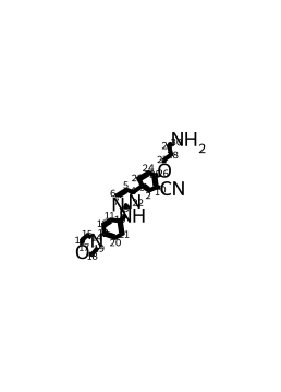 N#Cc1cc(-c2ccnc(Nc3ccc(N4CCOCC4)cc3)n2)ccc1OCCCN